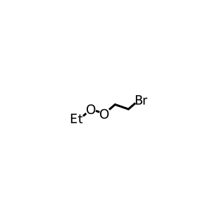 CCOOCCBr